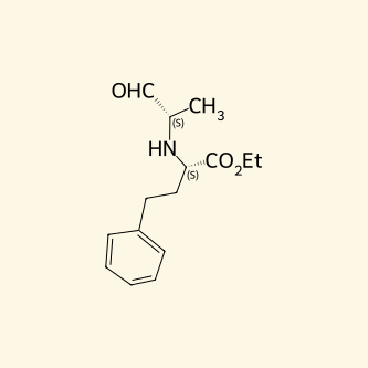 CCOC(=O)[C@H](CCc1ccccc1)N[C@@H](C)C=O